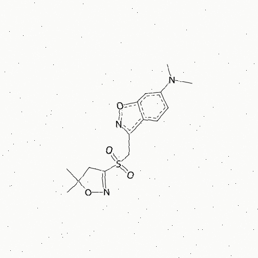 CN(C)c1ccc2c(CS(=O)(=O)C3=NOC(C)(C)C3)noc2c1